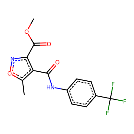 COC(=O)c1noc(C)c1C(=O)Nc1ccc(C(F)(F)F)cc1